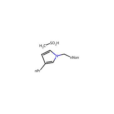 CCCCCCCCCCn1ccc(CCC)c1.CS(=O)(=O)O